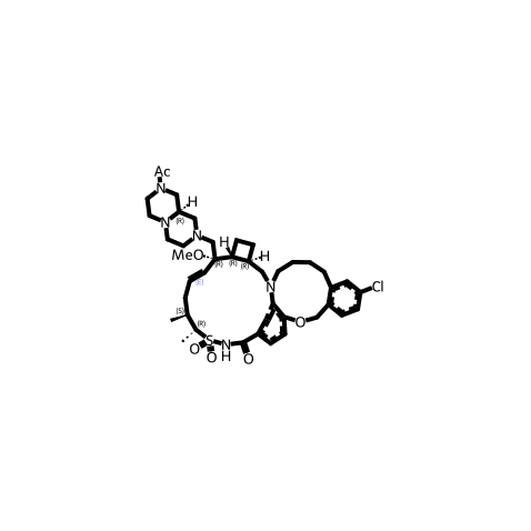 CO[C@@]1(CN2CCN3CCN(C(C)=O)C[C@H]3C2)/C=C/C[C@H](C)[C@@H](C)S(=O)(=O)NC(=O)c2ccc3c(c2)N(CCCCc2cc(Cl)ccc2CO3)C[C@@H]2CC[C@H]21